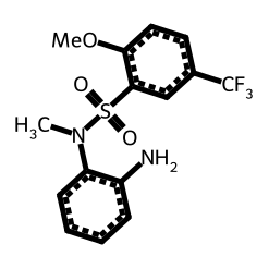 COc1ccc(C(F)(F)F)cc1S(=O)(=O)N(C)c1ccccc1N